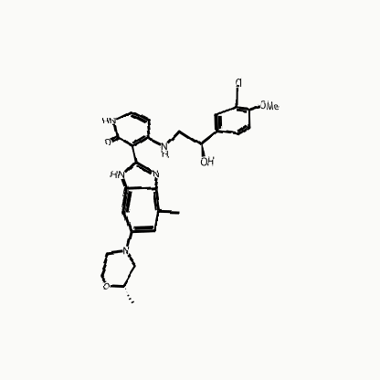 COc1ccc([C@@H](O)CNc2cc[nH]c(=O)c2-c2nc3c(C)cc(N4CCO[C@@H](C)C4)cc3[nH]2)cc1Cl